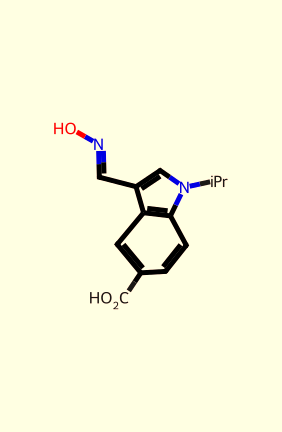 CC(C)n1cc(C=NO)c2cc(C(=O)O)ccc21